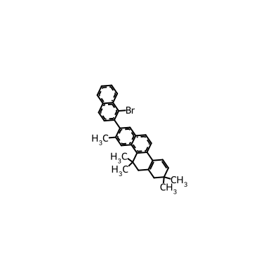 Cc1cc2c3c(ccc2cc1-c1ccc2ccccc2c1Br)C1=C(CC(C)(C)C=C1)CC3(C)C